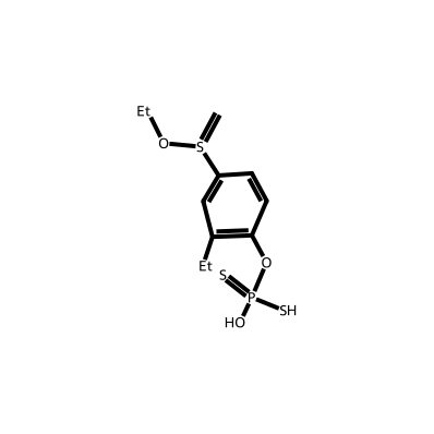 C=S(OCC)c1ccc(OP(O)(=S)S)c(CC)c1